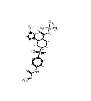 C=CC(=O)Nc1ccc(S(=O)(=O)N2CCN(C(=O)OC(C)(C)C)C(c3ccc(C)o3)C2)cc1